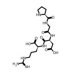 N=C(N)NCCC[C@H](NC(=O)[C@H](CC(=O)O)NC(=O)CNC(=O)[C@@H]1CCCN1)C(=O)O